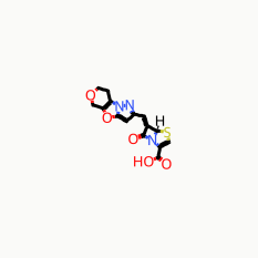 O=C(O)C1=CS[C@@H]2/C(=C/c3cc4oc5c(n4n3)CCOC5)C(=O)N12